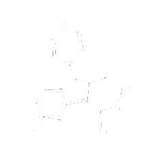 CCC1c2c(n(-c3cncnc3)c3ccc(Cl)cc23)CCN1C